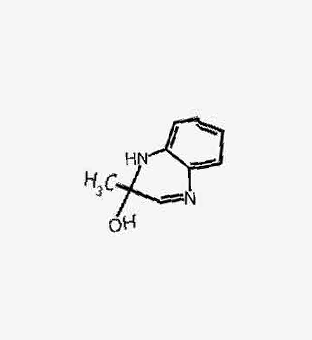 CC1(O)C=Nc2ccccc2N1